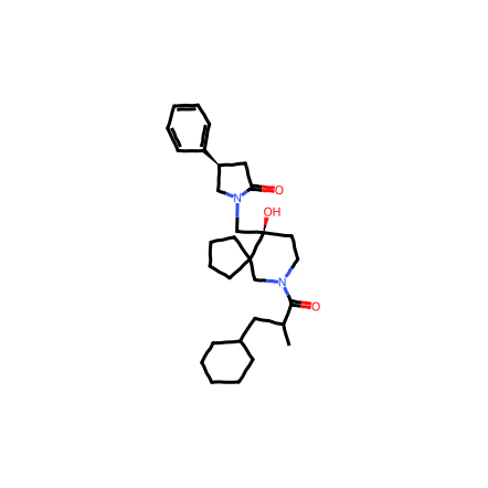 CC(CC1CCCCC1)C(=O)N1CC[C@@](O)(CN2C[C@@H](c3ccccc3)CC2=O)C2(CCCC2)C1